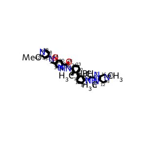 Bc1c(NC(=C)c2nc3c(n2C)CCN(C)C3)cccc1-c1cccc(NC(=O)c2cc3c(cn2)CN(c2ccnc(OC)c2)O3)c1C